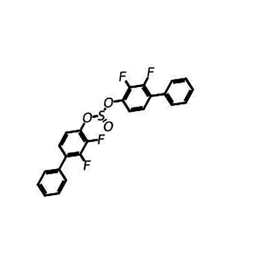 O=S(Oc1ccc(-c2ccccc2)c(F)c1F)Oc1ccc(-c2ccccc2)c(F)c1F